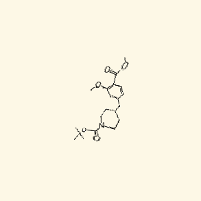 COC(=O)c1ccc(CC2CCN(C(=O)OC(C)(C)C)CC2)cc1OC